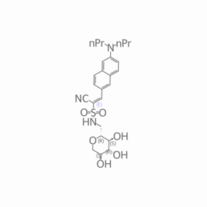 CCCN(CCC)c1ccc2cc(/C=C(\C#N)S(=O)(=O)NC[C@H]3OC[C@H](O)[C@@H](O)[C@@H]3O)ccc2c1